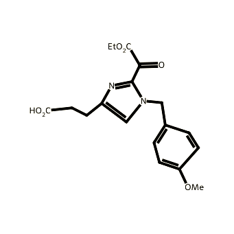 CCOC(=O)C(=O)c1nc(CCC(=O)O)cn1Cc1ccc(OC)cc1